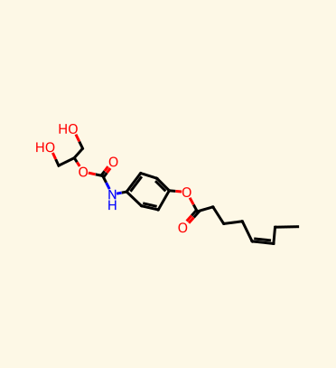 CC/C=C\CCCC(=O)Oc1ccc(NC(=O)OC(CO)CO)cc1